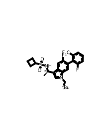 C[C@@H](NS(=O)(=O)C1CCC1)c1cn(CC(C)(C)C)c2cc(-c3c(F)cccc3C(F)(F)F)c(F)cc12